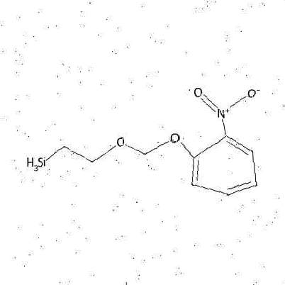 O=[N+]([O-])c1ccccc1OCOCC[SiH3]